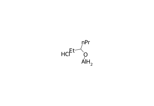 CCCC(CC)[O][AlH2].Cl